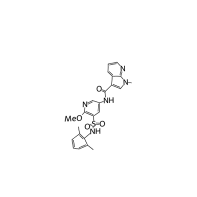 COc1ncc(NC(=O)c2cn(C)c3ncccc23)cc1S(=O)(=O)Nc1c(C)cccc1C